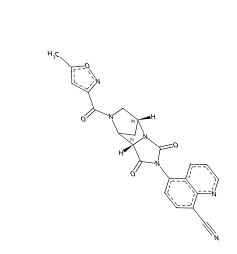 Cc1cc(C(=O)N2C[C@H]3CC2[C@H]2C(=O)N(c4ccc(C#N)c5ncccc45)C(=O)N32)no1